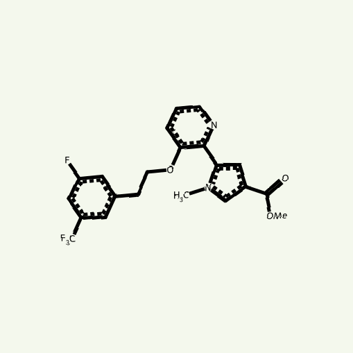 COC(=O)c1cc(-c2ncccc2OCCc2cc(F)cc(C(F)(F)F)c2)n(C)c1